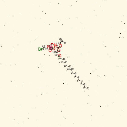 CCCCCCCCCCCCCCCCCCOCC(COP(=O)(O)OCCBr)OC(=O)OCC(C)C